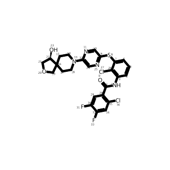 O=C(Nc1cccc(Sc2cnc(N3CCC4(CC3)COC[C@H]4O)cn2)c1Cl)c1cc(F)c(F)cc1Cl